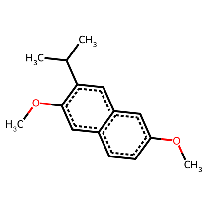 COc1ccc2cc(OC)c(C(C)C)cc2c1